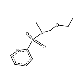 CCOCN(C)S(=O)(=O)c1ccccn1